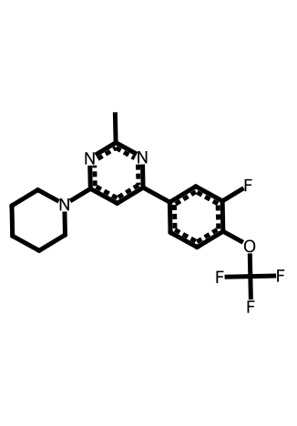 Cc1nc(-c2ccc(OC(F)(F)F)c(F)c2)cc(N2CCCCC2)n1